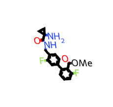 COC(=O)c1c(F)cccc1-c1ccc(CNC(=O)C2(N)CC2)c(F)c1